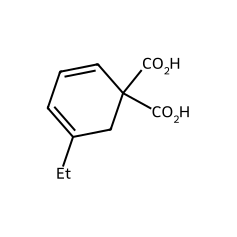 CCC1=CC=CC(C(=O)O)(C(=O)O)C1